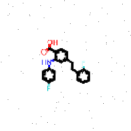 O=C(O)c1ccc(CCc2ccccc2F)cc1Nc1ccc(F)cc1